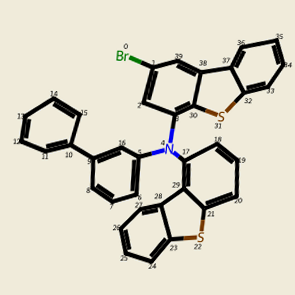 Brc1cc(N(c2cccc(-c3ccccc3)c2)c2cccc3sc4ccccc4c23)c2sc3ccccc3c2c1